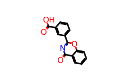 O=C(O)c1cccc(-c2nc(=O)c3ccccc3o2)c1